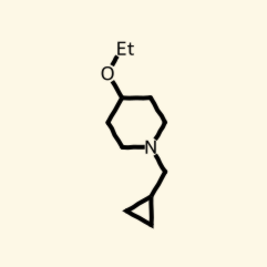 CCOC1CCN(CC2CC2)CC1